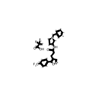 O=C(CCc1cnoc1-c1ccc(C(F)(F)F)cc1)NC1CCN(Cc2ccccc2)C1.O=C(O)C(F)(F)F